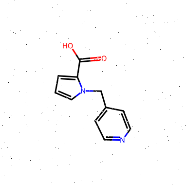 O=C(O)c1cccn1Cc1ccncc1